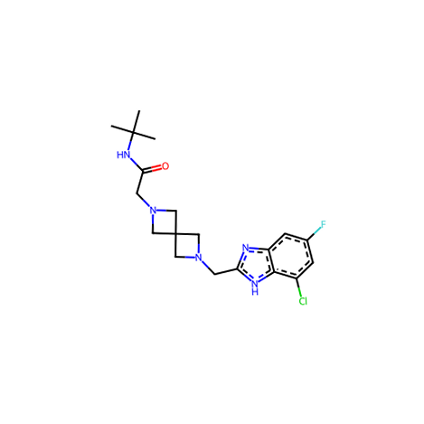 CC(C)(C)NC(=O)CN1CC2(C1)CN(Cc1nc3cc(F)cc(Cl)c3[nH]1)C2